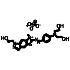 COS(=O)(=O)[O-].C[n+]1c(/N=N/c2ccc(N(CCO)CCO)cc2)sc2cc3cnn(CCO)c3cc21